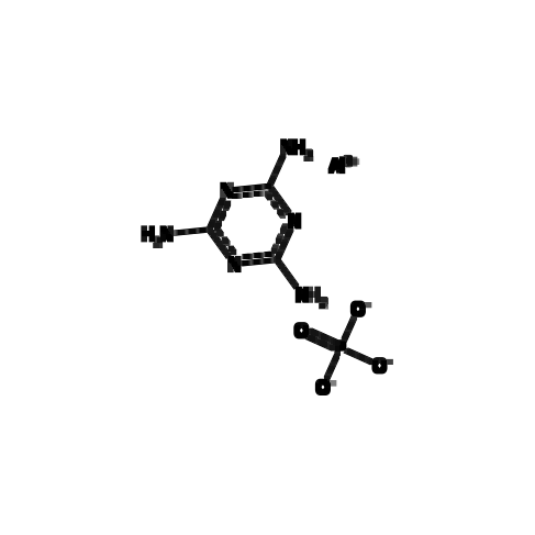 Nc1nc(N)nc(N)n1.O=P([O-])([O-])[O-].[Al+3]